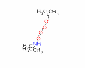 CC(C)C#CCOCCOCCOCCOCCNCC(C)(C)C